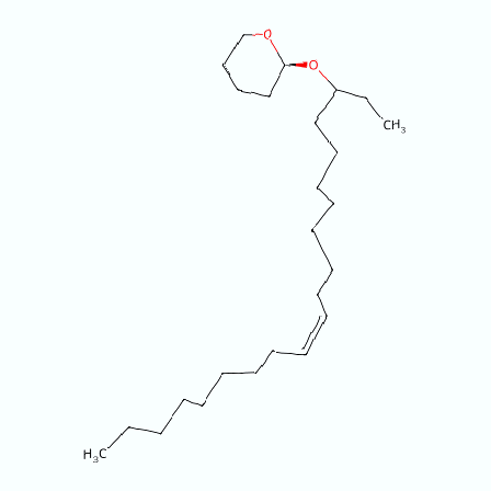 CCCCCCCC/C=C\CCCCCCCC(CC)O[C@H]1CCCCO1